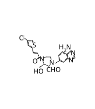 Nc1ncnc2cc(CN3CCN(C(=O)C=Cc4cc(Cl)cs4)[C@H](CO)C3C=O)ccc12